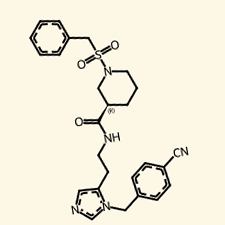 N#Cc1ccc(Cn2cncc2CCNC(=O)[C@@H]2CCCN(S(=O)(=O)Cc3ccccc3)C2)cc1